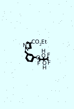 CCOC(=O)c1cnn(Cc2cccc(OC(F)C(O)(O)C(F)F)c2)c1